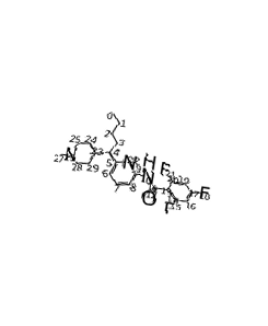 CCCCC(c1cccc(NC(=O)c2c(F)cc(F)cc2F)n1)C1CCN(C)CC1